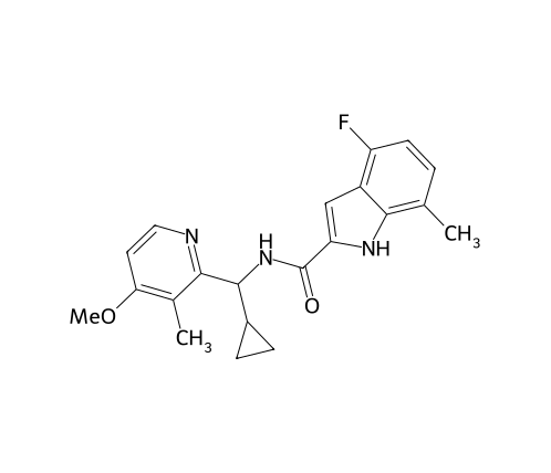 COc1ccnc(C(NC(=O)c2cc3c(F)ccc(C)c3[nH]2)C2CC2)c1C